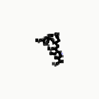 C#CCC(COP(=O)(O)OC(C)C)OC(C)N(C=O)/C=C\C(=O)NC